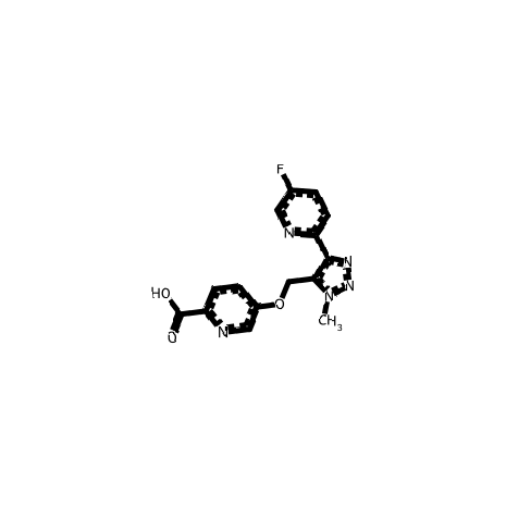 Cn1nnc(-c2ccc(F)cn2)c1COc1ccc(C(=O)O)nc1